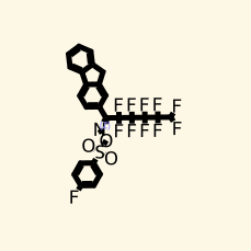 O=S(=O)(O/N=C(/c1ccc2c(c1)Cc1ccccc1-2)C(F)(F)C(F)(F)C(F)(F)C(F)(F)C(F)F)c1ccc(F)cc1